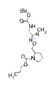 C=CCOC(=O)N1CCCC1CO/N=C(/CNC(=O)OC(C)(C)C)N=C